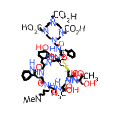 CNCCCC[C@@H]1NC(=O)[C@@H](Cc2c[nH]c3ccccc23)NC(=O)C(Cc2ccc(O)cc2)NC(=O)[C@@H](NC(=O)[C@@H](Cc2ccccc2)NC(=O)CN2CCN(CC(=O)O)CCN(CC(=O)O)CCN(CC(=O)O)CC2)CSSC[C@@H](C(=O)N[C@H](CO)[C@@H](C)O)NC(=O)[C@H]([C@@H](C)O)NC1=O